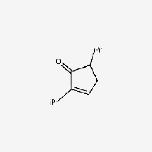 CC(C)C1=CCC(C(C)C)C1=O